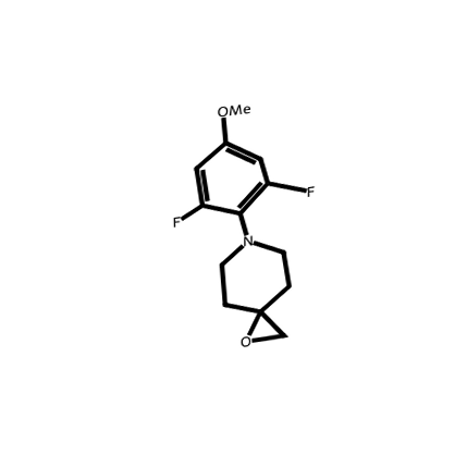 COc1cc(F)c(N2CCC3(CC2)CO3)c(F)c1